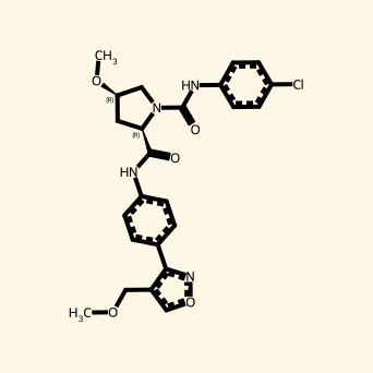 COCc1conc1-c1ccc(NC(=O)[C@H]2C[C@@H](OC)CN2C(=O)Nc2ccc(Cl)cc2)cc1